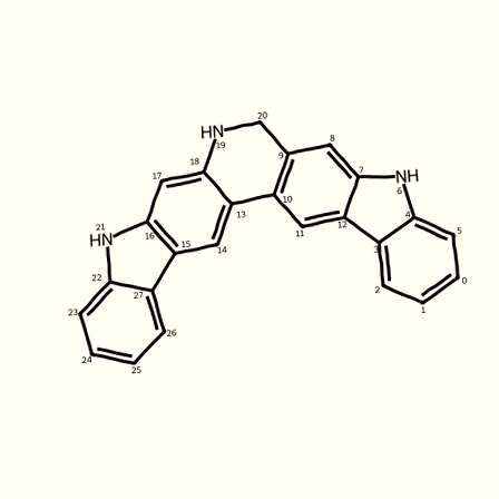 c1ccc2c(c1)[nH]c1cc3c(cc12)-c1cc2c(cc1NC3)[nH]c1ccccc12